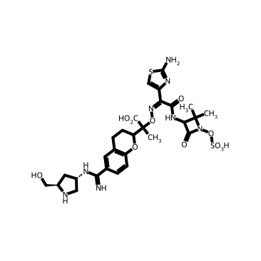 CC(ON=C(C(=O)NC1C(=O)N(OS(=O)(=O)O)C1(C)C)c1csc(N)n1)(C(=O)O)C1CCc2cc(C(=N)N[C@@H]3CN[C@@H](CO)C3)ccc2O1